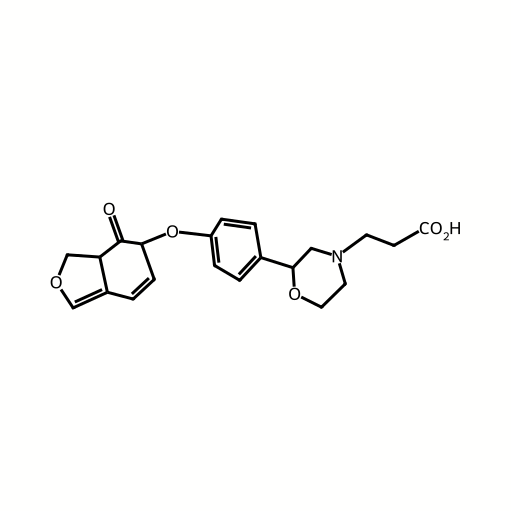 O=C(O)CCN1CCOC(c2ccc(OC3C=CC4=COCC4C3=O)cc2)C1